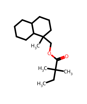 CCC(C)(C)C(=O)OCC1(C)CCCC2CCCCC21